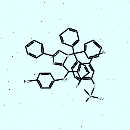 CCOc1cc(O[Si](C)(C)C(C)(C)C)c(F)c(C(Nc2ccc(C#N)cc2)c2nc(-c3ccccc3)cn2C(c2ccccc2)(c2ccccc2)c2ccccc2)c1